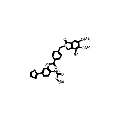 COc1cc2c(c(Br)c1OC)CN(Cc1ccc(C(=O)Nc3cc(-c4cccs4)ccc3NC(=O)OC(C)(C)C)cc1)C2=O